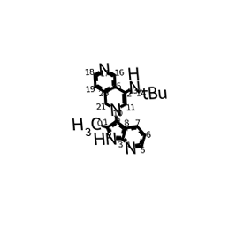 Cc1[nH]c2ncccc2c1N1C=C(NC(C)(C)C)c2cnccc2C1